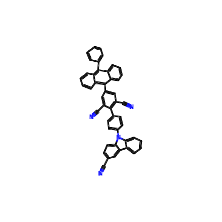 N#Cc1ccc2c(c1)c1ccccc1n2-c1ccc(-c2c(C#N)cc(-c3c4ccccc4c(-c4ccccc4)c4ccccc34)cc2C#N)cc1